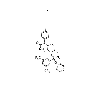 Cc1ccc(C(C(N)=O)C2CCC(CN(Cc3ccccc3)S(=O)(=O)c3cc(C(F)(F)F)cc(C(F)(F)F)c3)CC2)cc1